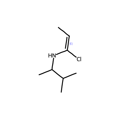 C/C=C(/Cl)NC(C)C(C)C